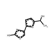 CC(O)c1ccc(-c2csc(S)n2)s1